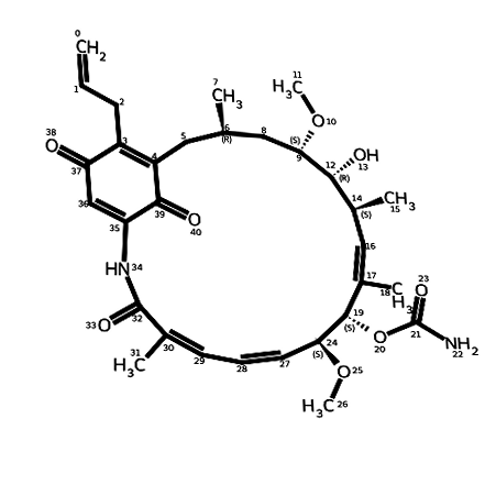 C=CCC1=C2C[C@@H](C)C[C@H](OC)[C@H](O)[C@@H](C)C=C(C)[C@H](OC(N)=O)[C@@H](OC)C=CC=C(C)C(=O)NC(=CC1=O)C2=O